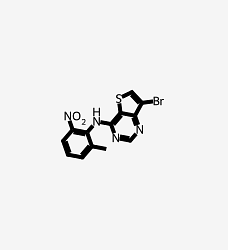 Cc1cccc([N+](=O)[O-])c1Nc1ncnc2c(Br)csc12